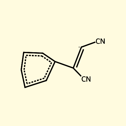 N#C[C]=C(C#N)c1ccccc1